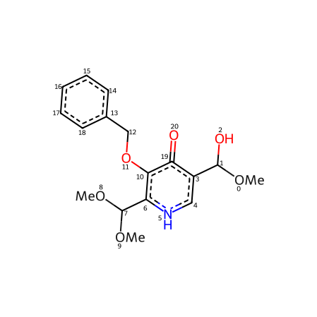 COC(O)c1c[nH]c(C(OC)OC)c(OCc2ccccc2)c1=O